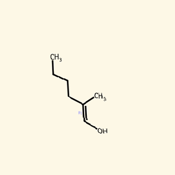 CCCC/C(C)=C/O